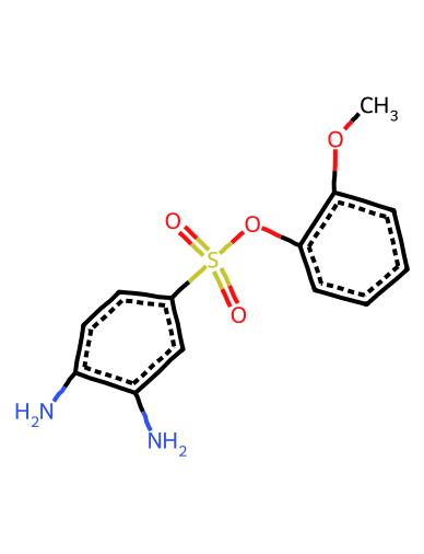 COc1ccccc1OS(=O)(=O)c1ccc(N)c(N)c1